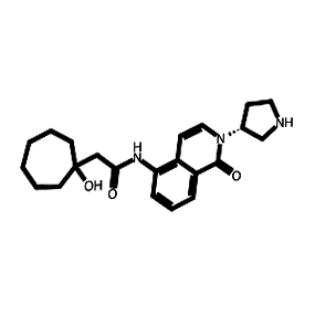 O=C(CC1(O)CCCCCC1)Nc1cccc2c(=O)n([C@@H]3CCNC3)ccc12